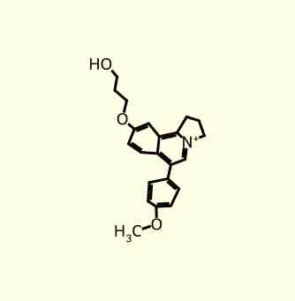 COc1ccc(-c2c[n+]3c(c4cc(OCCCO)ccc24)CCC3)cc1